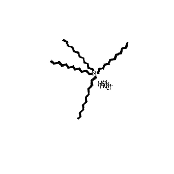 CCCCCCCCCCCC[N+](CCCCCCCCCCCC)(CCCCCCCCCCCC)CCCCCCCCCCCC.Cl.Cl.[Cl-]